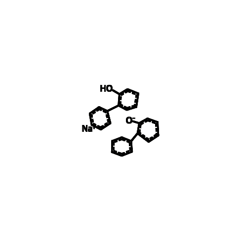 Oc1ccccc1-c1ccccc1.[Na+].[O-]c1ccccc1-c1ccccc1